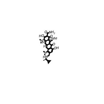 CO[C@@]12C(=O)C(C(N)=O)=C(O)[C@@H](N(C)C)[C@@H]1C[C@@H]1Cc3c(c(O)cc(CN[C@H](C)C4CC4)c3N(C)C)C(=O)C1=C2C